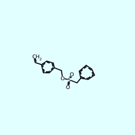 C=Cc1ccc(COS(=O)(=O)Cc2ccccc2)cc1